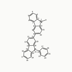 Cn1c2ccccc2c2cc(-c3ccc4c5ccccc5p(-c5ccccc5)c4c3)ccc21